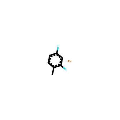 Br.Cc1ccc(F)cc1F